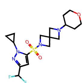 O=S(=O)(c1cc(C(F)F)nn1C1CC1)N1CC2(CN(C3CCOCC3)C2)C1